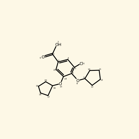 O=C(O)c1cc(Cl)c(OC2CCCC2)c(OC2CCCC2)c1